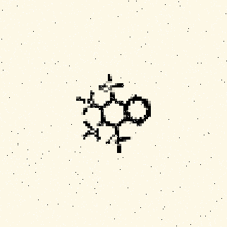 C[Si](C)(C)C1c2ccccc2C([Si](C)(C)C)C([Si](C)(C)C)C1[Si](C)(C)C